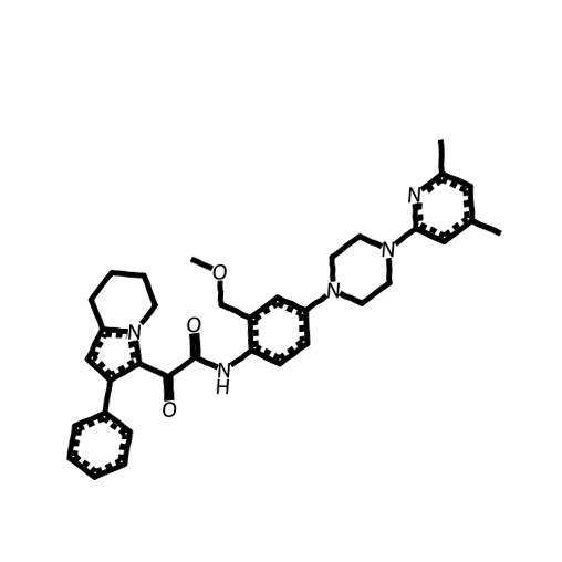 COCc1cc(N2CCN(c3cc(C)cc(C)n3)CC2)ccc1NC(=O)C(=O)c1c(-c2ccccc2)cc2n1CCCC2